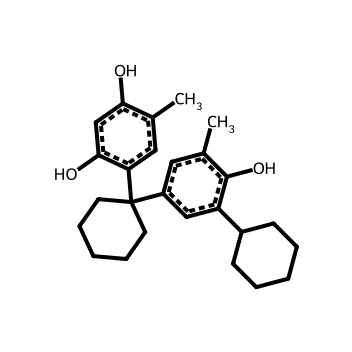 Cc1cc(C2(c3cc(C)c(O)c(C4CCCCC4)c3)CCCCC2)c(O)cc1O